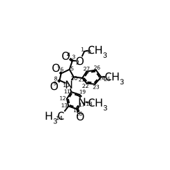 CCOC(=O)C1C(=O)C(=O)N(c2cc(C)c(=O)n(C)c2)C1c1ccc(C)cc1